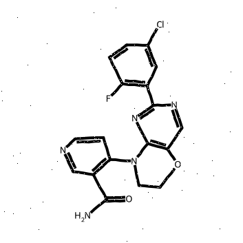 NC(=O)c1cnccc1N1CCOc2cnc(-c3cc(Cl)ccc3F)nc21